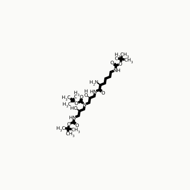 CC(C)(C)OC(=O)NCCCC[C@H](N)C(=O)NC[C@@H](O)CN(C[C@H](O)CNC(=O)OC(C)(C)C)C(=O)OC(C)(C)C